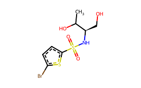 CC(O)[C@@H](CO)NS(=O)(=O)c1ccc(Br)s1